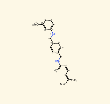 C=C(/C=C\C=C(/C)OC)NCc1ccc(CNc2cccc(OC)c2)cc1